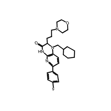 O=C1Nc2nc(-c3ccc(F)cc3)ccc2N(CC2CCCCC2)C1CCCN1CCOCC1